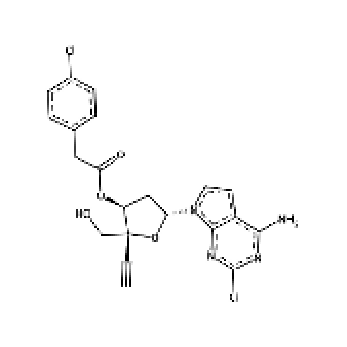 C#C[C@]1(CO)O[C@@H](n2ccc3c(N)nc(Cl)nc32)C[C@@H]1OC(=O)Cc1ccc(Cl)cc1